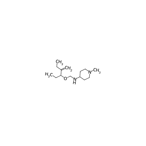 C=C(CC)C(CC)OCNC1CCN(C)CC1